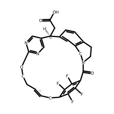 O=C(O)C[C@@H]1c2cnc(nc2)OCC/C=C/Cc2c(F)c(F)c(c(F)c2F)C(=O)N2CCc3ccc1cc3C2